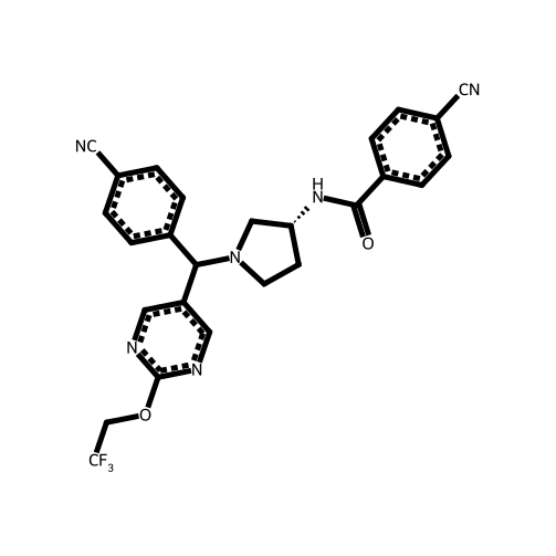 N#Cc1ccc(C(=O)N[C@@H]2CCN(C(c3ccc(C#N)cc3)c3cnc(OCC(F)(F)F)nc3)C2)cc1